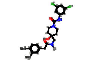 CCN(CC1(O)CCN(C(=O)Nc2cc(Cl)cc(Cl)c2)CC1)C(=O)Cc1ccc(OC)c(OC)c1